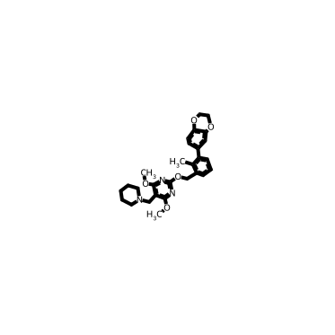 COc1nc(OCc2cccc(-c3ccc4c(c3)OCCO4)c2C)nc(OC)c1CN1CCCCC1